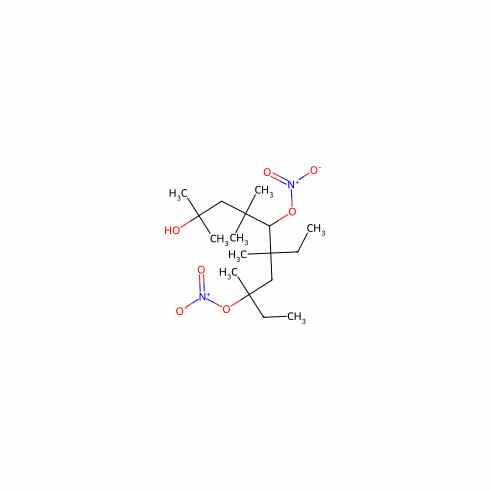 CCC(C)(CC(C)(CC)C(O[N+](=O)[O-])C(C)(C)CC(C)(C)O)O[N+](=O)[O-]